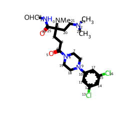 CNC(CCC(=O)N1CCN(c2cc(Cl)cc(Cl)c2)CC1)(CCN(C)C)C(=O)NC=O